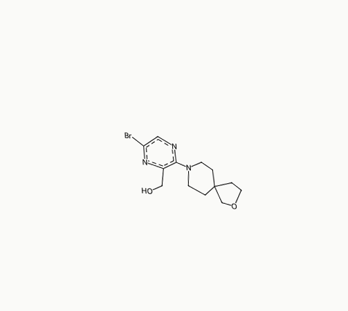 OCc1nc(Br)cnc1N1CCC2(CCOC2)CC1